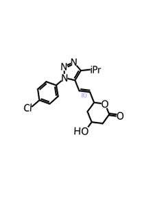 CC(C)c1nnn(-c2ccc(Cl)cc2)c1/C=C/C1CC(O)CC(=O)O1